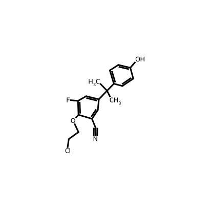 CC(C)(c1ccc(O)cc1)c1cc(F)c(OCCCl)c(C#N)c1